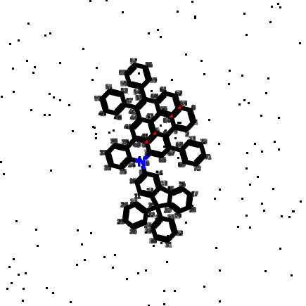 c1ccc(-c2ccc(N(c3ccc4c(c3)-c3ccccc3C4(c3ccccc3)c3ccccc3)c3ccccc3-c3ccc4c(c3)c(-c3ccccc3)c(-c3ccccc3)c3ccccc34)cc2-c2ccccc2)cc1